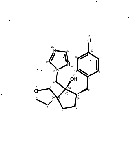 CC[C@@]1(CCl)CC[C@H](Cc2ccc(Cl)cc2)[C@@]1(O)Cn1cncn1